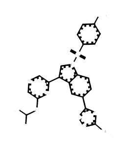 Cc1ccc(S(=O)(=O)n2cc(-c3cncc(NC(C)C)n3)c3cc(-c4nc(N)ns4)ccc32)cc1